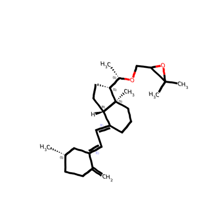 C=C1CC[C@H](C)C/C1=C\C=C1/CCC[C@]2(C)[C@@H]([C@H](C)OCC3OC3(C)C)CC[C@@H]12